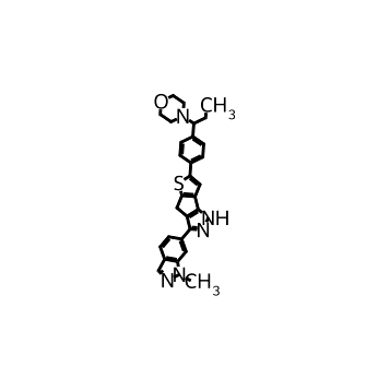 CCC(c1ccc(-c2cc3c(s2)Cc2c(-c4ccc5cnn(C)c5c4)n[nH]c2-3)cc1)N1CCOCC1